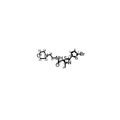 Cc1nc(-c2ccc(Br)s2)sc1C(=O)NCCN1CCOCC1